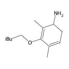 CCC(C)COC1=C(C)C(N)CC=C1C